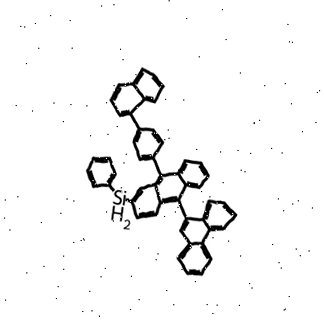 c1ccc([SiH2]c2ccc3c(-c4cc5ccccc5c5ccccc45)c4ccccc4c(-c4ccc(-c5cccc6ccccc56)cc4)c3c2)cc1